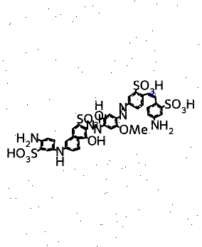 COc1cc(N=Nc2c(S(=O)(=O)O)cc3cc(Nc4ccc(N)c(S(=O)(=O)O)c4)ccc3c2O)c(O)cc1N=Nc1ccc(/C=C\c2ccc(N)cc2S(=O)(=O)O)c(S(=O)(=O)O)c1